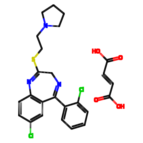 Clc1ccc2c(c1)C(c1ccccc1Cl)=NCC(SCCN1CCCC1)=N2.O=C(O)C=CC(=O)O